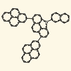 c1ccc2cc(-n3c4ccc(-c5cc6ccc7cccc8ccc(c5)c6c78)c5ccc6c(-c7cc8ccc9cccc%10ccc(c7)c8c9%10)ccc3c6c54)ccc2c1